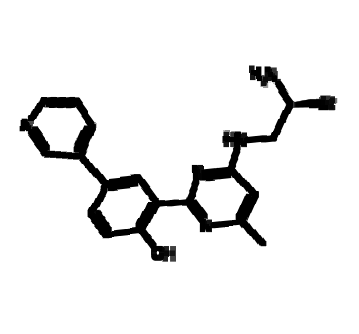 CC[C@H](N)CNc1cc(C)nc(-c2cc(-c3cccnc3)ccc2O)n1